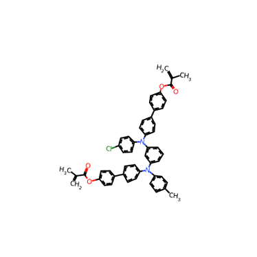 C=C(C)C(=O)Oc1ccc(-c2ccc(N(c3ccc(C)cc3)c3cccc(N(c4ccc(Cl)cc4)c4ccc(-c5ccc(OC(=O)C(=C)C)cc5)cc4)c3)cc2)cc1